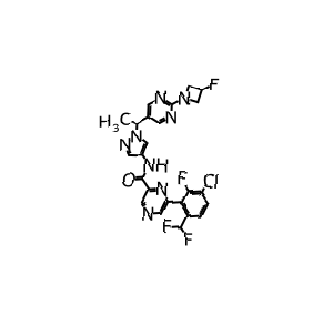 C[C@@H](c1cnc(N2CC(F)C2)nc1)n1cc(NC(=O)c2cncc(-c3c(C(F)F)ccc(Cl)c3F)n2)cn1